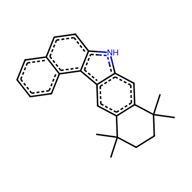 CC1(C)CCC(C)(C)c2cc3c(cc21)[nH]c1ccc2ccccc2c13